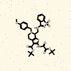 COc1ccc(CN2CCc3c(sc(NC(=O)C(=O)OC(C)(C)C)c3C(=O)OC(C)(C)C)C2CNC2=NS(=O)(=O)c3ccccc32)cc1